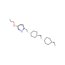 CCCOc1ccc(CC[C@H]2CC[C@H](CC[C@H]3CC[C@H](CC)CC3)CC2)nc1